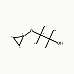 CC(C)(O)C(C)(C)OB1CC1